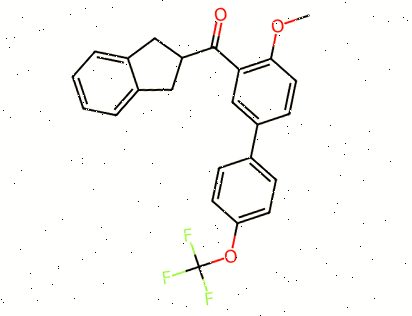 COc1ccc(-c2ccc(OC(F)(F)F)cc2)cc1C(=O)C1Cc2ccccc2C1